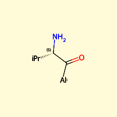 CC(C)[C@H](N)[C](=O)[Al]